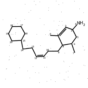 CC1=CC(N)CC(C)C1CC/C=C\CCC1CCCCC1